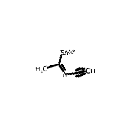 C#C/N=C(/C)SC